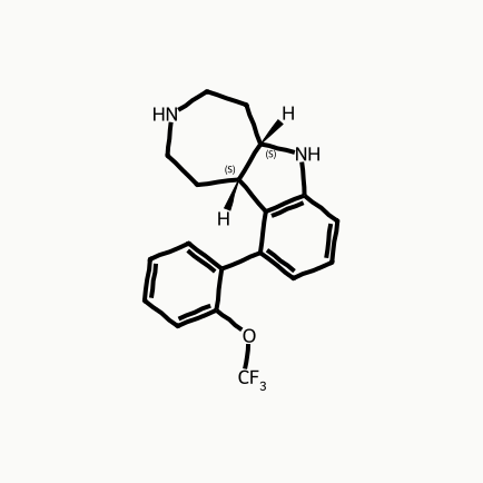 FC(F)(F)Oc1ccccc1-c1cccc2c1[C@@H]1CCNCC[C@@H]1N2